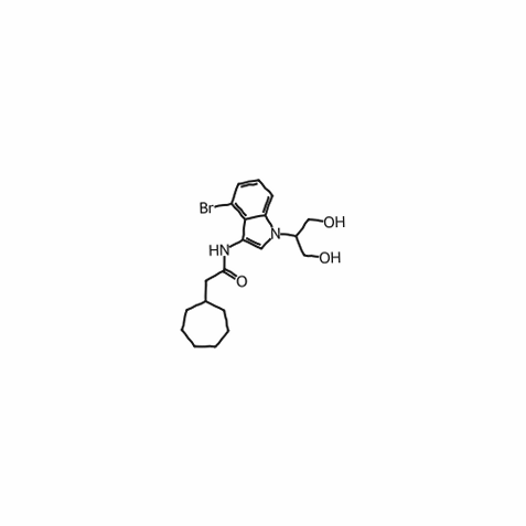 O=C(CC1CCCCCC1)Nc1cn(C(CO)CO)c2cccc(Br)c12